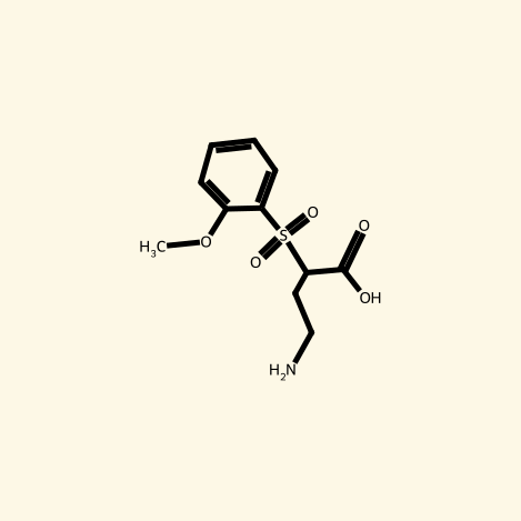 COc1ccccc1S(=O)(=O)C(CCN)C(=O)O